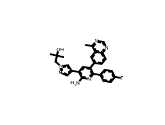 Cc1ncnc2ccc(-c3cc(-c4cnn(CC(C)(C)O)c4)c(N)nc3-c3ccc(F)cc3)cc12